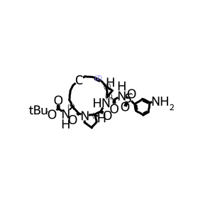 CC(C)(C)OC(=O)N[C@H]1CCCCC/C=C\[C@@H]2C[C@@]2(C(=O)NS(=O)(=O)c2cccc(N)c2)NC(=O)[C@@H]2CCCN2C1=O